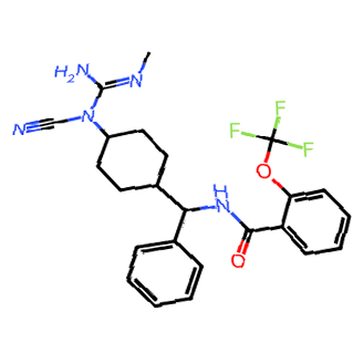 CN=C(N)N(C#N)C1CCC(C(NC(=O)c2ccccc2OC(F)(F)F)c2ccccc2)CC1